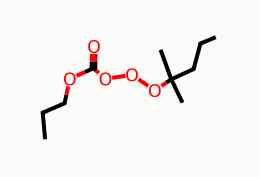 CCCOC(=O)OOOC(C)(C)CCC